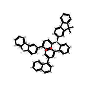 CC1(C)c2ccccc2-c2ccc(N(c3ccc(-c4ccc5oc6ccccc6c5c4)cc3)c3ccccc3-c3cccc(-c4cccc5ccccc45)c3)cc21